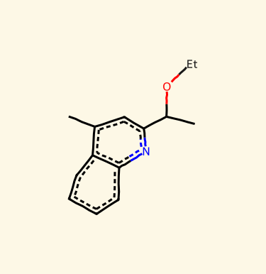 CCOC(C)c1cc(C)c2ccccc2n1